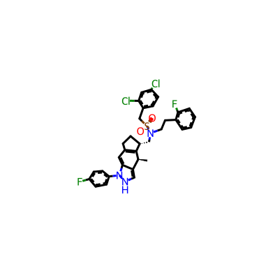 C[C@H]1C2=CNN(c3ccc(F)cc3)C2=CC2=C1[C@@H](CN(CCc1ccccc1F)S(=O)(=O)Cc1ccc(Cl)cc1Cl)CC2